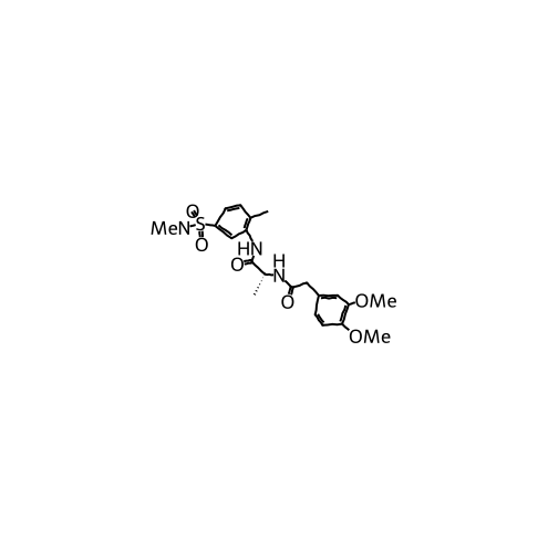 CNS(=O)(=O)c1ccc(C)c(NC(=O)[C@@H](C)NC(=O)Cc2ccc(OC)c(OC)c2)c1